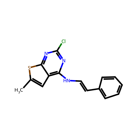 Cc1cc2c(NC=Cc3ccccc3)nc(Cl)nc2s1